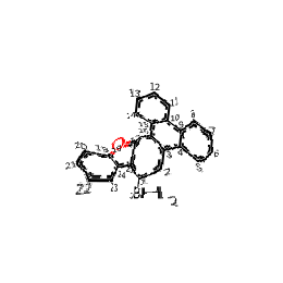 Bc1cc2c3ccccc3c3ccccc3c2c2oc3ccccc3c12